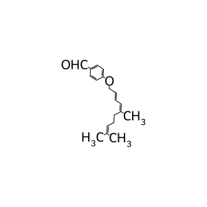 CC(C)=CCCC(C)=CC=CCOc1ccc(C=O)cc1